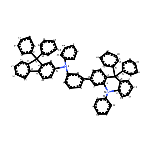 c1ccc(N(c2cccc(-c3ccc4c(c3)N(c3ccccc3)c3ccccc3C4(c3ccccc3)c3ccccc3)c2)c2ccc3c(c2)C(c2ccccc2)(c2ccccc2)c2ccccc2-3)cc1